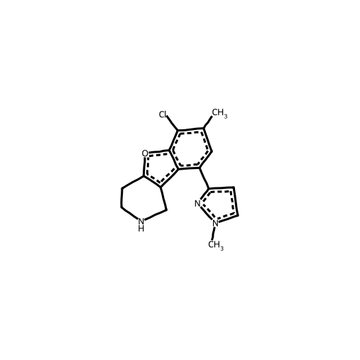 Cc1cc(-c2ccn(C)n2)c2c3c(oc2c1Cl)CCNC3